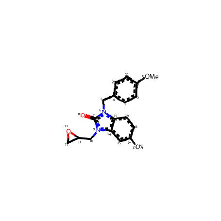 COc1ccc(Cn2c(=O)n(CC3CO3)c3cc(C#N)ccc32)cc1